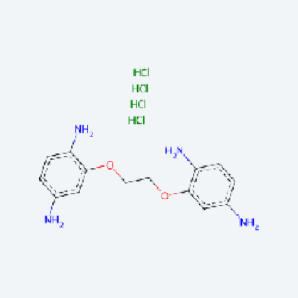 Cl.Cl.Cl.Cl.Nc1ccc(N)c(OCCOc2cc(N)ccc2N)c1